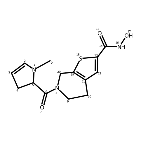 CN1C=CCC1C(=O)N1CCc2cc(C(=O)NO)sc2C1